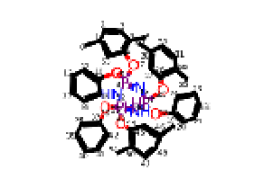 Cc1ccc(C)c(OP2(Oc3ccccc3)=N[PH](Oc3ccccc3)(Oc3cc(C)ccc3C)N[PH](Oc3ccccc3)(Oc3cc(C)ccc3C)N2)c1